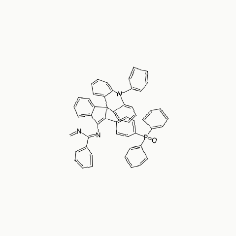 C=N/C(=N\C1=C(c2ccc(P(=O)(c3ccccc3)c3ccccc3)cc2)C2(c3ccccc31)c1ccccc1N(c1ccccc1)c1ccccc12)c1ccccc1